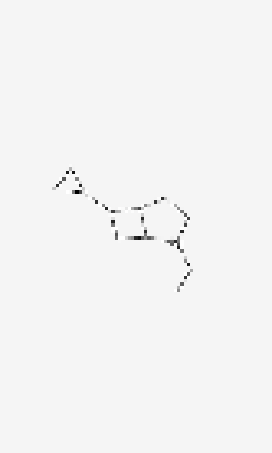 CCN1CCC2C(C3CC3)CC21